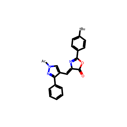 CC(=O)n1cc(C=C2N=C(c3ccc(C(C)(C)C)cc3)OC2=O)c(-c2ccccc2)n1